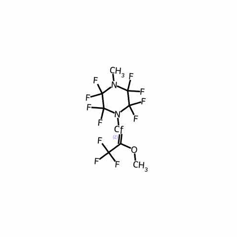 CO/[C](=[Cf]\[N]1C(F)(F)C(F)(F)N(C)C(F)(F)C1(F)F)C(F)(F)F